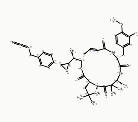 COc1ccc(C[C@H]2NC(=O)/C=C/C[C@@H]([C@H](C)[C@H]3O[C@@H]3c3ccc(CN=[N+]=[N-])cc3)OC(=O)[C@H](CC(C)(C)C)NC(=O)C(C)(C)[C@H](C)NC2=O)cc1Cl